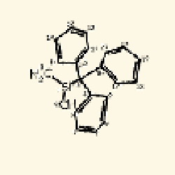 C[Si](C)C(c1ccccc1)(c1ccccc1)c1ccccc1